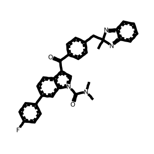 CN(C)C(=O)n1cc(C(=O)c2ccc(CC3(C)N=c4ccccc4=N3)cc2)c2ccc(-c3ccc(F)cc3)cc21